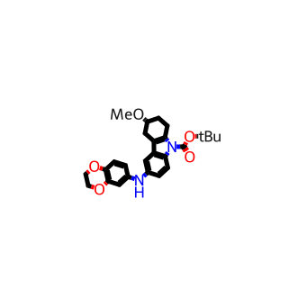 COC1CCc2c(c3cc(Nc4ccc5c(c4)OCCO5)ccc3n2C(=O)OC(C)(C)C)C1